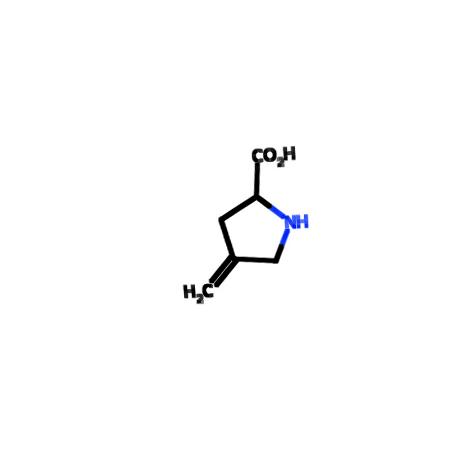 C=C1CNC(C(=O)O)C1